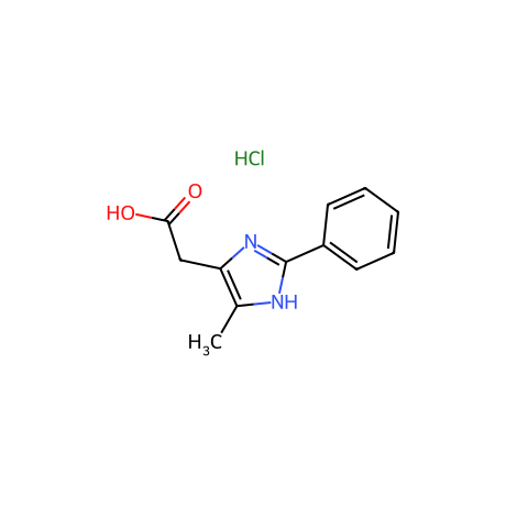 Cc1[nH]c(-c2ccccc2)nc1CC(=O)O.Cl